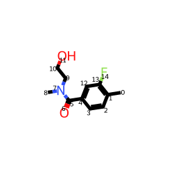 Cc1ccc(C(=O)N(C)CCO)cc1F